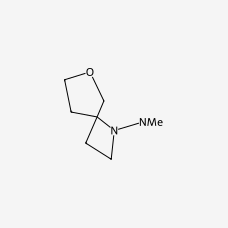 CNN1CCC12CCOC2